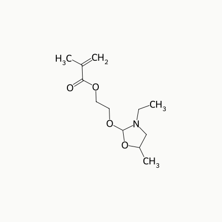 C=C(C)C(=O)OCCOC1OC(C)CN1CC